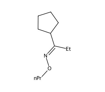 CCCO/N=C(\CC)C1CCCC1